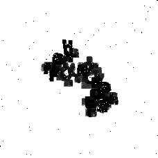 NC(=O)c1cc(CN2CCCC23CCN(C(=O)OC(C(F)(F)F)C(F)(F)F)CC3)ccc1C(F)(F)F